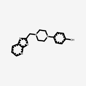 Oc1ccc(N2CCN(Cc3nc4cccnc4s3)CC2)cc1